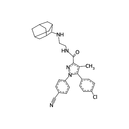 Cc1c(C(=O)NCCNC2C3CC4CC(C3)CC2C4)nn(-c2ccc(C#N)cc2)c1-c1ccc(Cl)cc1